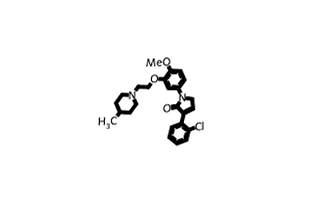 COc1ccc(N2CC=C(c3ccccc3Cl)C2=O)cc1OCCN1CCC(C)CC1